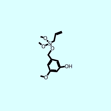 C=CC[Si](OC)(OC)OCc1cc(O)cc(OC)c1